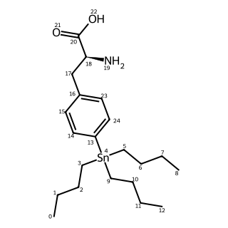 CCC[CH2][Sn]([CH2]CCC)([CH2]CCC)[c]1ccc(C[C@H](N)C(=O)O)cc1